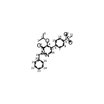 CC(C)Oc1c(-c2ccc(S(C)(=O)=O)cc2)cnn(Cc2ccccc2)c1=O